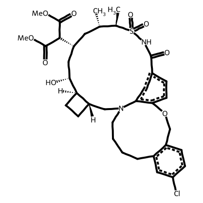 COC(=O)C(C(=O)OC)[C@H]1C[C@@H](O)[C@@H]2CC[C@H]2CN2CCCCc3cc(Cl)ccc3COc3ccc(cc32)C(=O)NS(=O)(=O)[C@H](C)[C@@H](C)C1